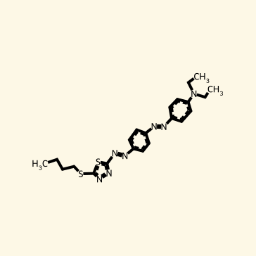 CCCCSc1nnc(/N=N/c2ccc(/N=N/c3ccc(N(CC)CC)cc3)cc2)s1